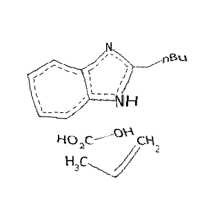 C=CC.CCCCc1nc2ccccc2[nH]1.O=C(O)O